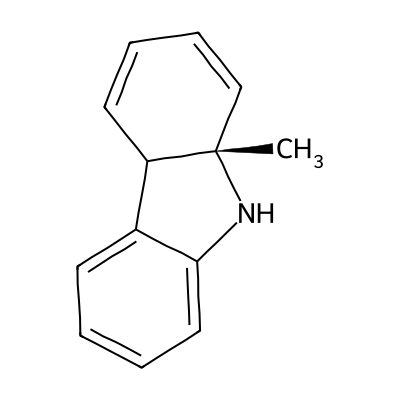 C[C@]12C=CC=CC1c1ccccc1N2